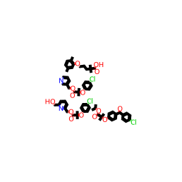 CC(C)(Oc1ccc(Cl)cc1)C(=O)OCc1cccc(CO)n1.CC(C)(Oc1ccc(Cl)cc1)C(=O)OCc1cccnc1.CC(C)OC(=O)C(C)(C)Oc1ccc(C(=O)c2ccc(Cl)cc2)cc1.Cc1ccc(C)c(OCCCC(C)(C)C(=O)O)c1